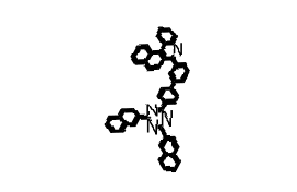 c1cc(-c2ccc(-c3nc(-c4ccc5ccccc5c4)nc(-c4ccc5ccccc5c4)n3)cc2)cc(-c2nc3ccccc3c3c2ccc2ccccc23)c1